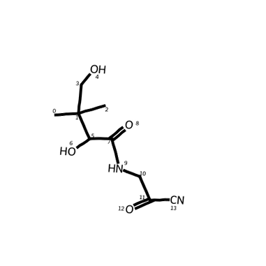 CC(C)(CO)C(O)C(=O)NCC(=O)C#N